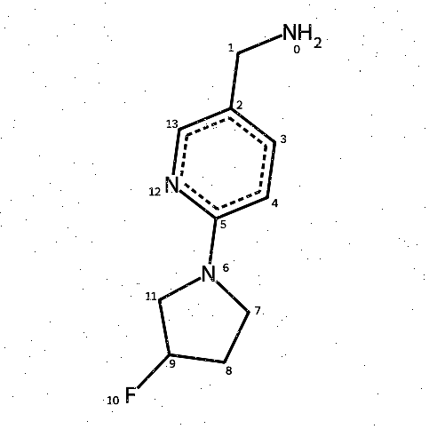 NCc1ccc(N2CCC(F)C2)nc1